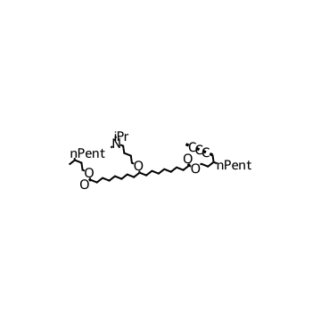 C=C=C=C=CC(CCCCC)CCOC(=O)CCCCCCCC(CCCCCCCC(=O)OCCC(C)CCCCC)OCCCCN(C)C(C)C